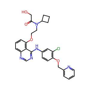 O=C(CO)N(CCOc1cccc2ncnc(Nc3ccc(OCc4ccccn4)c(Cl)c3)c12)C1CCC1